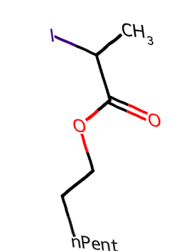 CCCCCCCOC(=O)C(C)I